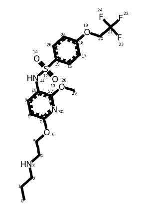 CCCNCCOc1ccc(NS(=O)(=O)c2ccc(OCC(F)(F)F)cc2)c(OC)n1